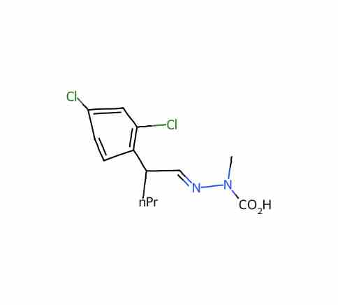 CCCC(C=NN(C)C(=O)O)c1ccc(Cl)cc1Cl